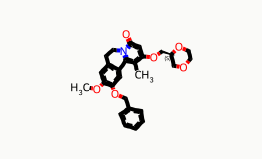 COc1cc2c(cc1OCc1ccccc1)-c1c(C)c(OC[C@@H]3COCCO3)cc(=O)n1CC2